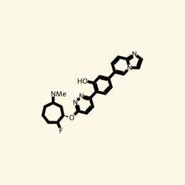 CNC1CCCC(F)[C@@H](Oc2ccc(-c3ccc(-c4ccc5nccn5c4)cc3O)nn2)C1